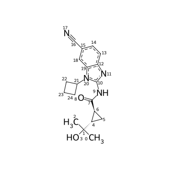 CC(C)(O)[C@H]1C[C@@H]1C(=O)Nc1nc2ccc(C#N)cc2n1C1CCC1